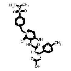 Cc1ccc([C@H](CC(=O)O)NC(=O)Nc2c(O)ccn(Cc3ccc(S(=O)(=O)N(C)C)cc3)c2=O)cc1